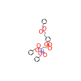 COP(=O)(CCC(C(=O)OCc1ccccc1)N(C=O)OCc1ccccc1)Oc1cccc(CCC(=O)OCc2ccccc2)c1